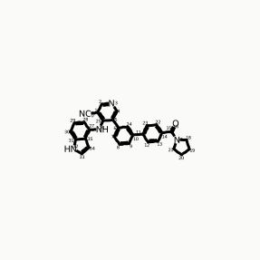 N#Cc1cncc(-c2cccc(-c3ccc(C(=O)N4CCCC4)cc3)c2)c1Nc1cccc2[nH]ccc12